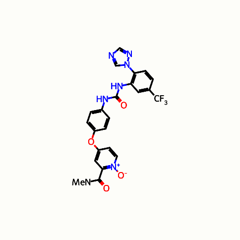 CNC(=O)c1cc(Oc2ccc(NC(=O)Nc3cc(C(F)(F)F)ccc3-n3cncn3)cc2)cc[n+]1[O-]